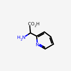 NC(C(=O)O)c1ccccn1